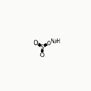 O=S(=O)=O.[NaH]